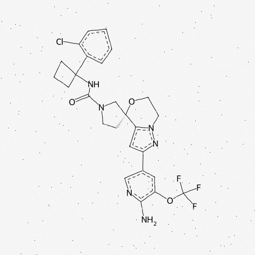 Nc1ncc(-c2cc3n(n2)CCO[C@@]32CCN(C(=O)NC3(c4ccccc4Cl)CCC3)C2)cc1OC(F)(F)F